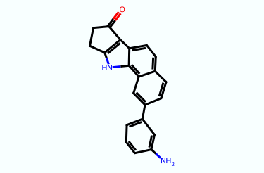 Nc1cccc(-c2ccc3ccc4c5c([nH]c4c3c2)CCC5=O)c1